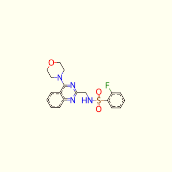 O=S(=O)(NCc1nc(N2CCOCC2)c2ccccc2n1)c1ccccc1F